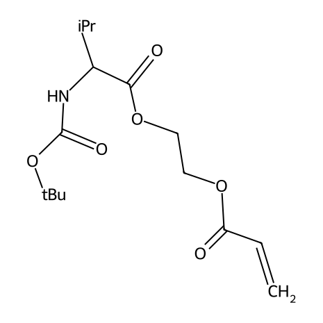 C=CC(=O)OCCOC(=O)C(NC(=O)OC(C)(C)C)C(C)C